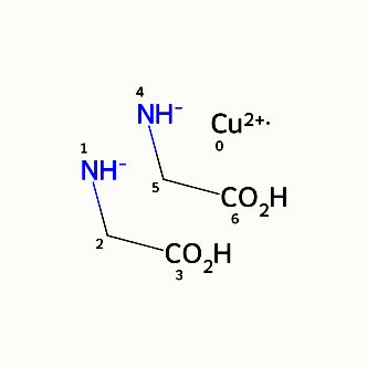 [Cu+2].[NH-]CC(=O)O.[NH-]CC(=O)O